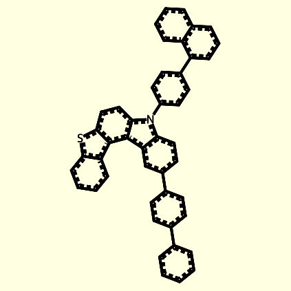 c1ccc(-c2ccc(-c3ccc4c(c3)c3c5c(ccc3n4-c3ccc(-c4cccc6ccccc46)cc3)sc3ccccc35)cc2)cc1